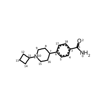 NC(=O)c1ccc(C2CCN(C3CCC3)CC2)cc1